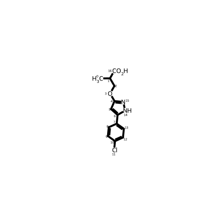 CC(COc1cc(-c2ccc(Cl)cc2)[nH]n1)C(=O)O